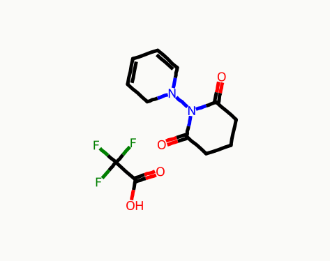 O=C(O)C(F)(F)F.O=C1CCCC(=O)N1N1C=CC=CC1